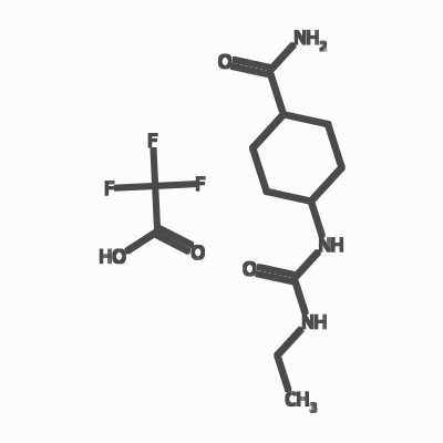 CCNC(=O)NC1CCC(C(N)=O)CC1.O=C(O)C(F)(F)F